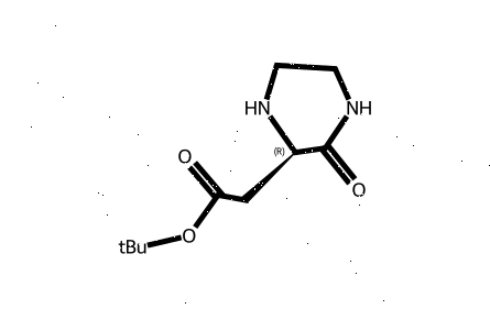 CC(C)(C)OC(=O)C[C@H]1NCCNC1=O